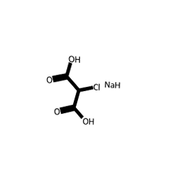 O=C(O)C(Cl)C(=O)O.[NaH]